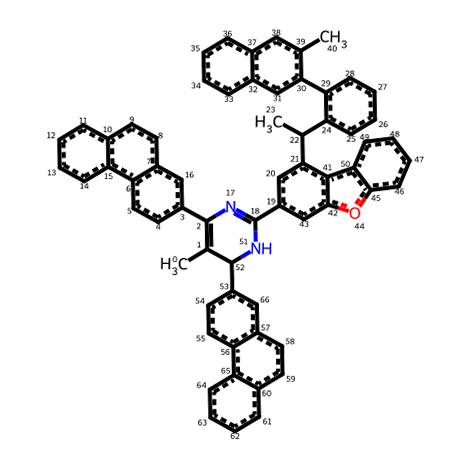 CC1=C(c2ccc3c(ccc4ccccc43)c2)N=C(c2cc(C(C)c3ccccc3-c3cc4ccccc4cc3C)c3c(c2)oc2ccccc23)NC1c1ccc2c(ccc3ccccc32)c1